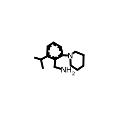 CC(C)c1cccc(N2CCCCC2)c1CN